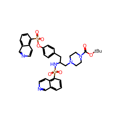 CC(C)(C)OC(=O)N1CCN(CC(Cc2ccc(OS(=O)(=O)c3cccc4cnccc34)cc2)NS(=O)(=O)c2cccc3cnccc23)CC1